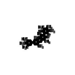 Cc1cc(-c2cc(C)c(Cc3c(C)c(Br)c(-c4c(Br)c(C)c(C)c(C)c4Br)c(Br)c3C)c(C)c2)cc(C)c1C